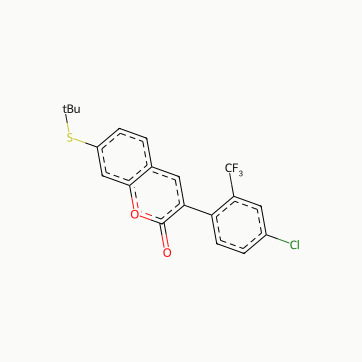 CC(C)(C)Sc1ccc2cc(-c3ccc(Cl)cc3C(F)(F)F)c(=O)oc2c1